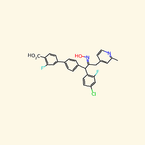 Cc1cc(CC(=NO)C(c2ccc(-c3ccc(C(=O)O)c(F)c3)cc2)c2ccc(Cl)cc2F)ccn1